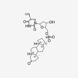 C[C@]12CCC3C(CC[C@H]4CC(=O)CC[C@]34C)[C@@H]1CC[C@@H]2O[PH](=O)OCC1OC(n2cc([125I])c(=O)[nH]c2=O)CC1O